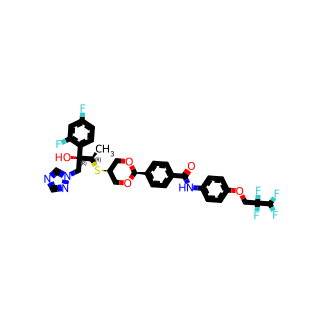 C[C@@H](S[C@H]1CO[C@H](c2ccc(C(=O)Nc3ccc(OCC(F)(F)C(F)F)cc3)cc2)OC1)[C@](O)(Cn1cncn1)c1ccc(F)cc1F